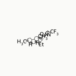 CCC1C[C@H](C(=O)Cn2ccc(C(F)(F)F)n2)[C@@]2(C)CCC3C4CC[C@H](C)C[C@H]4CC[C@H]3C12